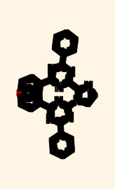 c1ccc(-c2nc(-c3ccccc3)nc(-c3nccn3-c3nc(-c4ccccc4)nc(-c4ccccc4)n3)n2)cc1